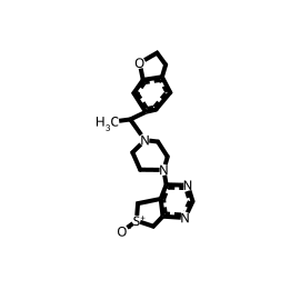 CC(c1ccc2c(c1)OCC2)N1CCN(c2ncnc3c2C[S+]([O-])C3)CC1